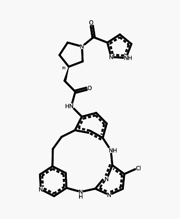 O=C(C[C@H]1CCN(C(=O)c2cc[nH]n2)C1)Nc1ccc2cc1CCc1cncc(c1)Nc1ncc(Cl)c(n1)N2